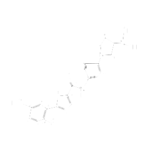 CN(C)C1CCN(c2ccc(NC(=O)c3ccc(-c4cc(C(F)(F)F)ccc4Cl)o3)cc2)C1